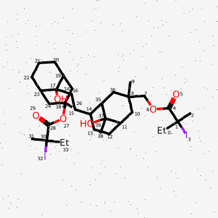 CCC(C)(I)C(=O)OCC1(C)CC2CCC(CCC3(O)C4CCCC3CC(C)(OC(=O)C(C)(I)CC)C4)C(C1)C2(C)O